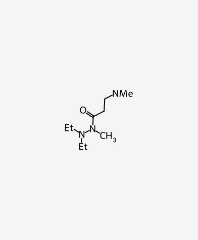 CCN(CC)N(C)C(=O)CCNC